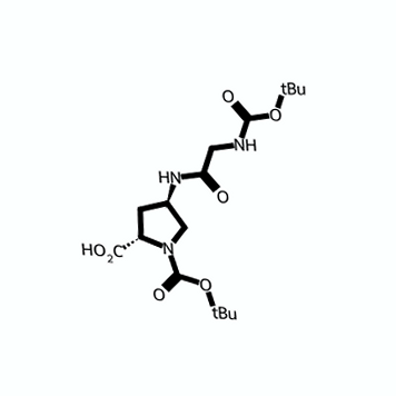 CC(C)(C)OC(=O)NCC(=O)N[C@@H]1C[C@@H](C(=O)O)N(C(=O)OC(C)(C)C)C1